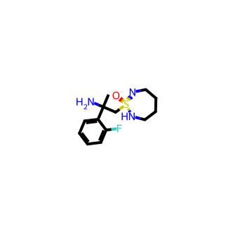 CC(N)(CS1(=O)=NCCCCN1)c1ccccc1F